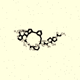 C=CC(=O)N1CCC2(CCN([C@H](C(=O)N[C@H]3Cc4cccc(c4)-c4ccc5c(c4)c(c(-c4cccnc4[C@H](C)OC)n5C)CC(C)(C)COC(=O)[C@@H]4CCCN(N4)C3=O)C(C)C)C2O)C1